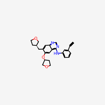 C#Cc1cccc(Nc2ncnc3cc(C[C@H]4CCOC4)c(O[C@H]4CCOC4)cc23)c1